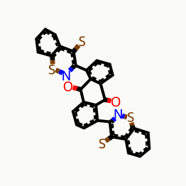 O=C1c2cccc(-c3nsc4ccccc4c3=S)c2C(=O)c2cccc(-c3nsc4ccccc4c3=S)c21